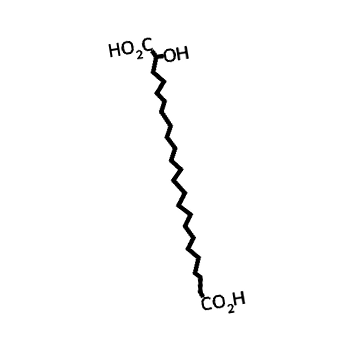 O=C(O)CCCCCCCCCCCCCCCCCCCCCC(O)C(=O)O